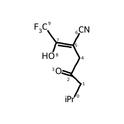 CC(C)CC(=O)C/C(C#N)=C(\O)C(F)(F)F